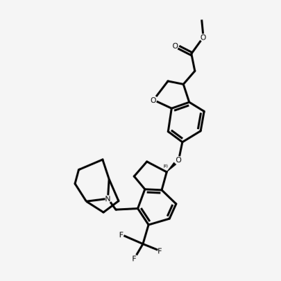 COC(=O)CC1COc2cc(O[C@@H]3CCc4c3ccc(C(F)(F)F)c4CN3C4CCCC3CC4)ccc21